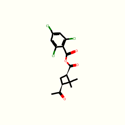 CC(=O)[C@H]1C[C@@H](C(=O)OC(=O)c2c(Cl)cc(Cl)cc2Cl)C1(C)C